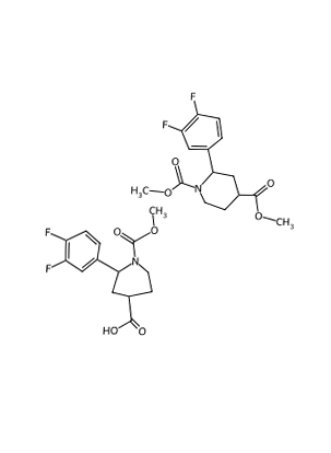 COC(=O)C1CCN(C(=O)OC)C(c2ccc(F)c(F)c2)C1.COC(=O)N1CCC(C(=O)O)CC1c1ccc(F)c(F)c1